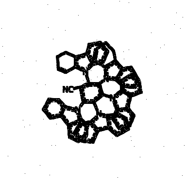 N#Cc1c(-n2c3c(c4ccccc42)CCC=C3)c(-n2c3c(c4ccccc42)CCC=C3)c(-n2c3ccccc3c3ccccc32)c(-n2c3ccccc3c3ccccc32)c1-n1c2ccccc2c2ccccc21